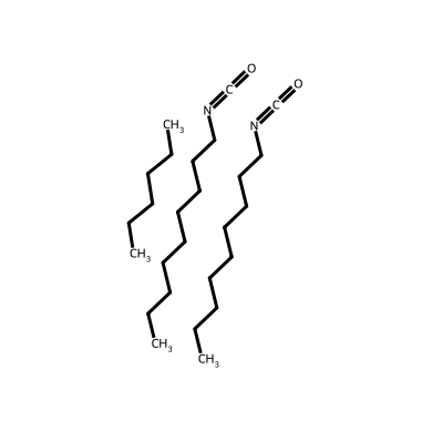 CCCCCC.CCCCCCCCCN=C=O.CCCCCCCCCN=C=O